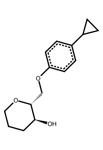 O[C@H]1CCCO[C@@H]1COc1ccc(C2CC2)cc1